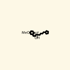 COc1ccc2nc(C(F)(F)CCCCC3CCCC3)c(O)cc2c1